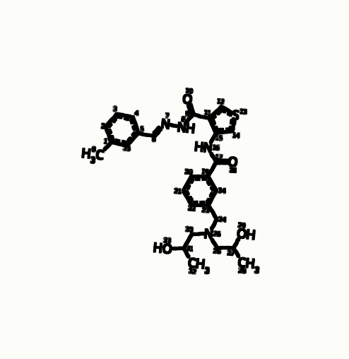 Cc1cccc(/C=N/NC(=O)c2cscc2NC(=O)c2cccc(CN(CC(C)O)CC(C)O)c2)c1